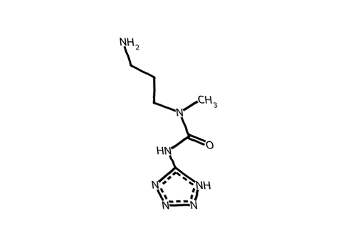 CN(CCCN)C(=O)Nc1nnn[nH]1